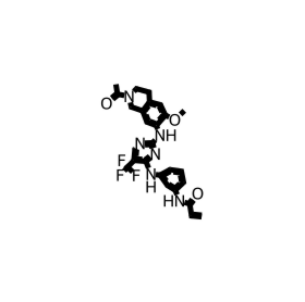 C=CC(=O)Nc1cccc(Nc2nc(Nc3cc4c(cc3OC)CCN(C(C)=O)C4)ncc2C(F)(F)F)c1